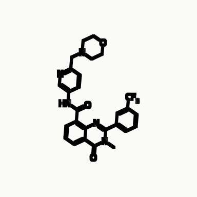 Cn1c(-c2cccc(C(F)(F)F)c2)nc2c(C(=O)Nc3ccc(CN4CCOCC4)nc3)cccc2c1=O